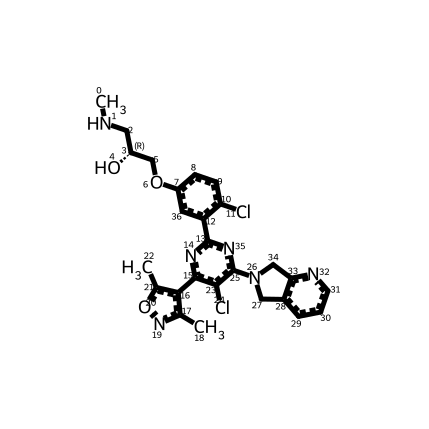 CNC[C@@H](O)COc1ccc(Cl)c(-c2nc(-c3c(C)noc3C)c(Cl)c(N3Cc4cccnc4C3)n2)c1